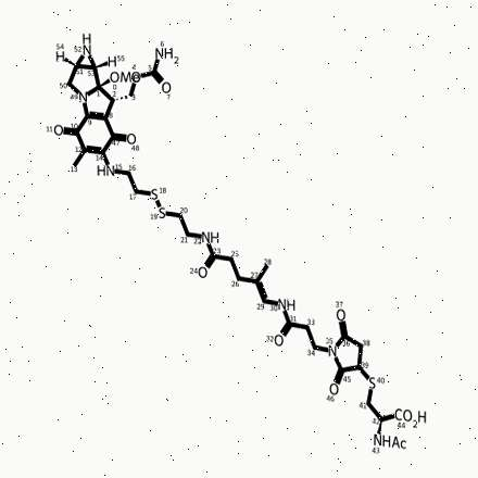 CO[C@@]12[C@H](COC(N)=O)C3=C(C(=O)C(C)=C(NCCSSCCNC(=O)CC/C(C)=C/NC(=O)CCN4C(=O)CC(SC[C@H](NC(C)=O)C(=O)O)C4=O)C3=O)N1C[C@@H]1N[C@@H]12